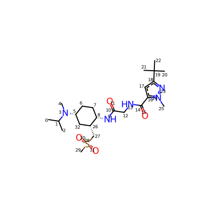 CC(C)N(C)[C@@H]1CC[C@H](NC(=O)CNC(=O)c2cc(C(C)(C)C)nn2C)[C@H](CS(C)(=O)=O)C1